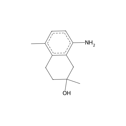 Cc1ccc(N)c2c1CCC(C)(O)C2